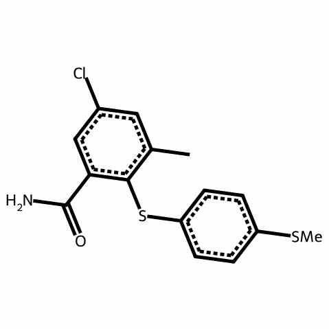 CSc1ccc(Sc2c(C)cc(Cl)cc2C(N)=O)cc1